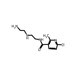 Cc1nc(Cl)ccc1C(=O)NCCNCCN